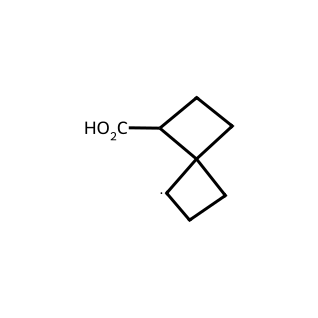 O=C(O)C1CCC12[CH]CC2